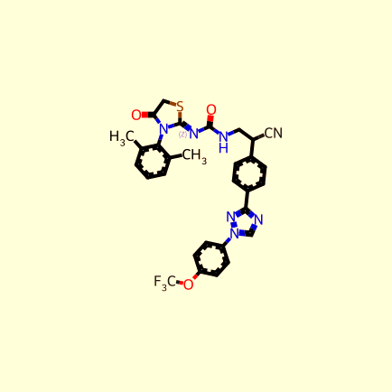 Cc1cccc(C)c1N1C(=O)CS/C1=N\C(=O)NCC(C#N)c1ccc(-c2ncn(-c3ccc(OC(F)(F)F)cc3)n2)cc1